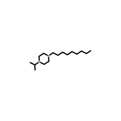 CCCCCCCCCN1CCN(C(C)C)CC1